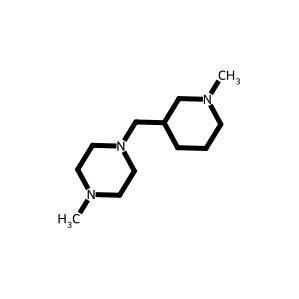 CN1CCN(CC2CCCN(C)C2)CC1